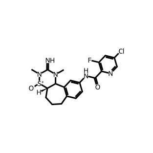 CN1C(=N)N(C)[S+]([O-])[C@H]2CCCc3ccc(NC(=O)c4ncc(Cl)cc4F)cc3C21